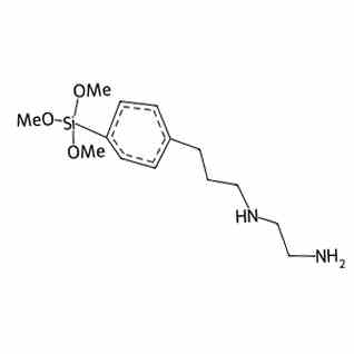 CO[Si](OC)(OC)c1ccc(CCCNCCN)cc1